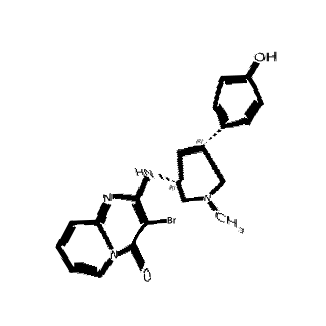 CN1C[C@H](Nc2nc3ccccn3c(=O)c2Br)C[C@H](c2ccc(O)cc2)C1